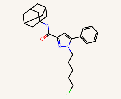 O=C(NC12CC3CC(CC(C3)C1)C2)c1cc(-c2ccccc2)n(CCCCCCl)n1